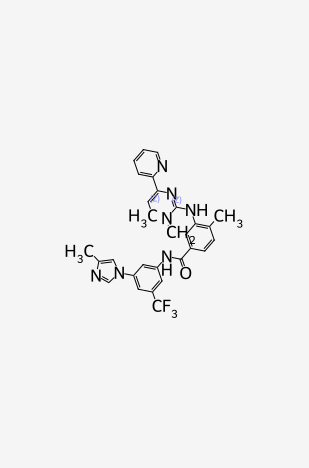 C=N/C(=N\C(=C/C)c1ccccn1)Nc1cc(C(=O)Nc2cc(-n3cnc(C)c3)cc(C(F)(F)F)c2)ccc1C